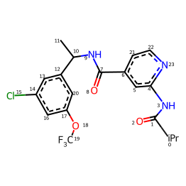 CC(C)C(=O)Nc1cc(C(=O)NC(C)c2cc(Cl)cc(OC(F)(F)F)c2)ccn1